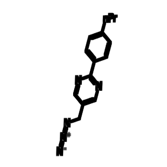 CCCc1ccc(-c2ncc(CN=[N+]=[N-])cn2)cc1